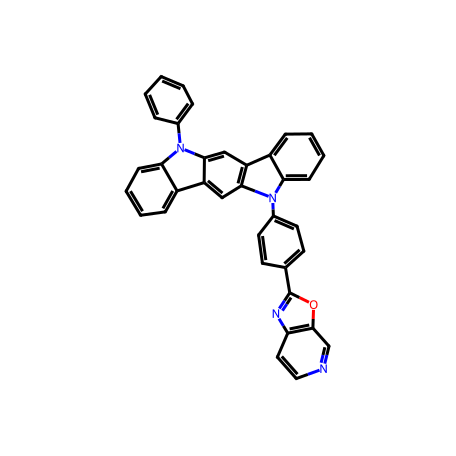 c1ccc(-n2c3ccccc3c3cc4c(cc32)c2ccccc2n4-c2ccc(-c3nc4ccncc4o3)cc2)cc1